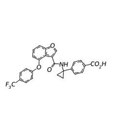 O=C(O)c1ccc(C2(NC(=O)c3coc4cccc(Oc5ccc(C(F)(F)F)cc5)c34)CC2)cc1